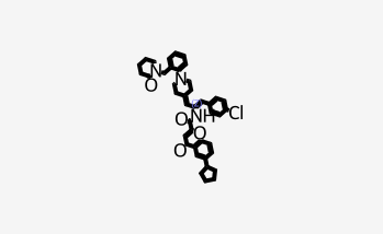 O=C(N/C(C=C1CCN(c2ccccc2CN2CCCCC2=O)CC1)=C\c1ccc(Cl)cc1)c1cc(=O)c2cc(C3CCCC3)ccc2o1